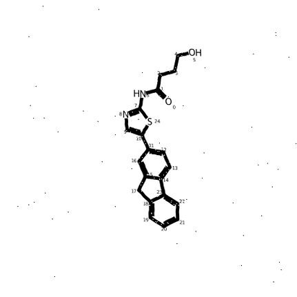 O=C(CCCO)Nc1ncc(-c2ccc3c(c2)Cc2ccccc2-3)s1